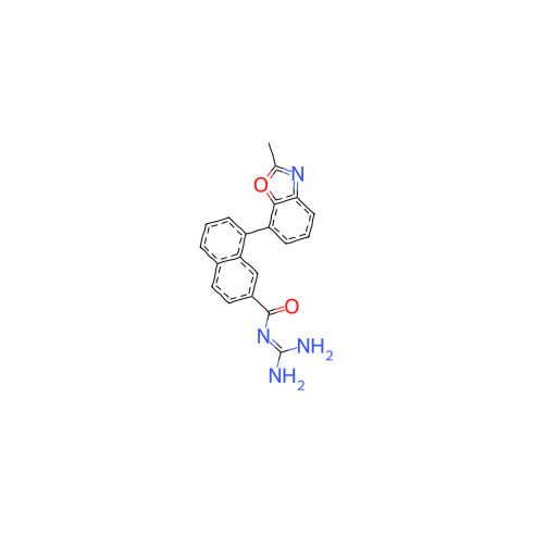 Cc1nc2cccc(-c3cccc4ccc(C(=O)N=C(N)N)cc34)c2o1